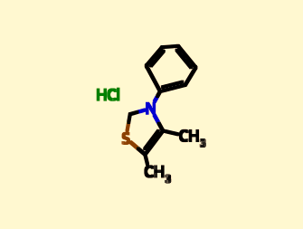 CC1=C(C)N(c2ccccc2)CS1.Cl